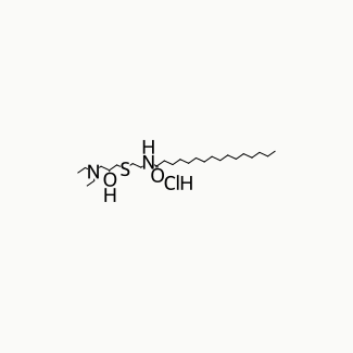 CCCCCCCCCCCCCCCC(=O)NCCSCC(O)CN(CC)CC.Cl